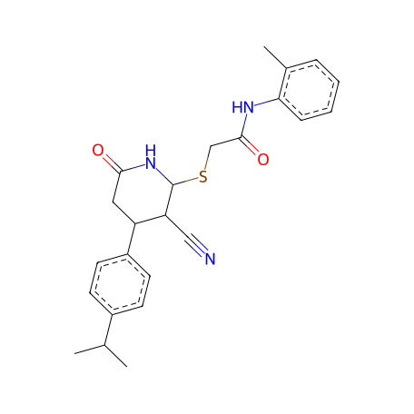 Cc1ccccc1NC(=O)CSC1NC(=O)CC(c2ccc(C(C)C)cc2)C1C#N